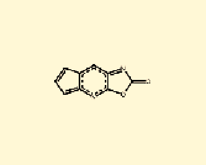 O=C1N=c2cc3c(nc2O1)=CC=C3